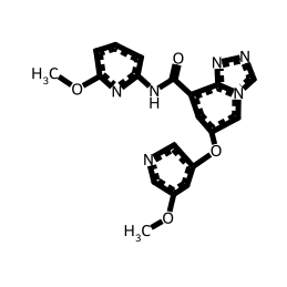 COc1cncc(Oc2cc(C(=O)Nc3cccc(OC)n3)c3nncn3c2)c1